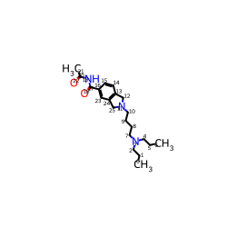 CCCN(CCC)CCCCN1Cc2ccc(C(=O)NC(C)=O)cc2C1